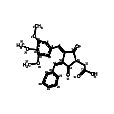 COc1cc(C=C2C(=O)N(CC(=O)O)C(=O)C2=Cc2ccccc2)cc(OC)c1OC